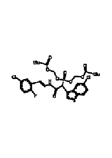 CC(C)(C)C(=O)OCOP(=O)(OCOC(=O)C(C)(C)C)C(C(=O)N/C=C/c1cc(Cl)ccc1F)c1csc2ccc(Cl)cc12